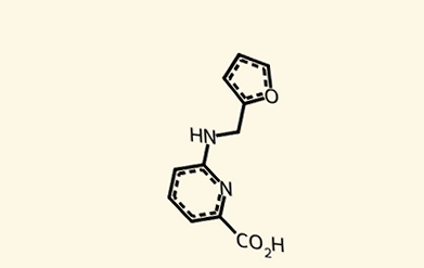 O=C(O)c1cccc(NCc2ccco2)n1